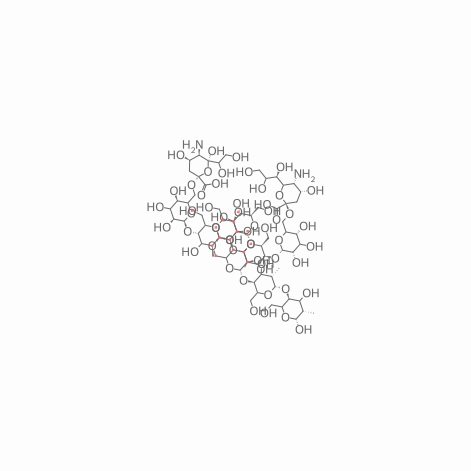 CC1C(O)[C@H](O[C@@H]2OC(CO[C@]3(C(=O)O)C[C@@H](O)[C@@H](N)C([C@H](O)C(O)CO)O3)[C@H](O)C(O)[C@@H]2O)[C@H](CO)O[C@H]1O[C@@H]1C(O)[C@H](O)C(CO)O[C@@H]1OCC1O[C@@H](O[C@@H]2C(CO)O[C@@H](O[C@@H]3C(CO)O[C@@H](O)[C@@H](C)C3O)[C@@H](C)C2O)[C@H](O)C(O[C@H]2O[C@H](CO)[C@@H](O)C(O)C2O[C@@H]2OC(CO)[C@@H](O[C@@H]3OC(CO[C@]4(C(=O)O)C[C@@H](O)[C@@H](N)[C@@](O)(C(O)CO)O4)[C@H](O)C(O)[C@@H]3O)C(O)[C@@H]2C)[C@@H]1O